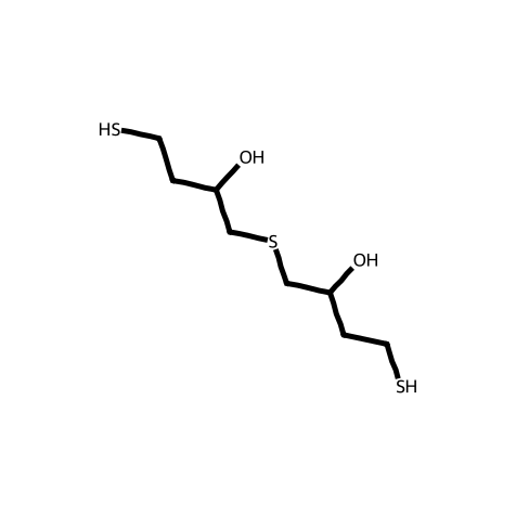 OC(CCS)CSCC(O)CCS